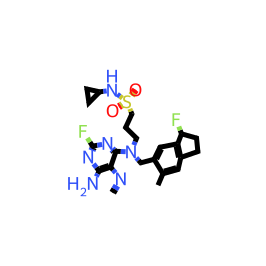 C=Nc1c(N)nc(F)nc1N(CCCS(=O)(=O)NC1CC1)Cc1cc2c(cc1C)CCC2F